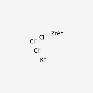 [Cl-].[Cl-].[Cl-].[K+].[Zn+2]